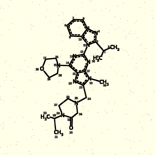 CC(C)c1nc2ccccc2n1-c1nc(N2CCOCC2)c2nc(CN3CCN(C(C)C)C(=O)C3)n(C)c2n1